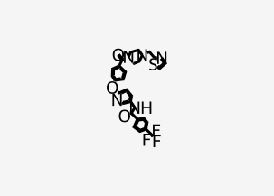 O=C(Nc1ccc(Oc2ccc(C(=O)N3CCN(Cc4nccs4)CC3)cc2)nc1)c1ccc(C(F)(F)F)cc1